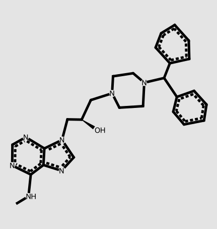 CNc1ncnc2c1ncn2C[C@H](O)CN1CCN(C(c2ccccc2)c2ccccc2)CC1